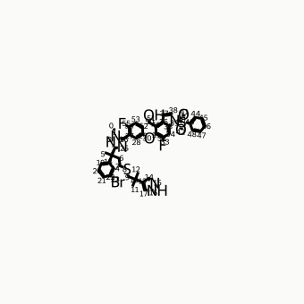 Cn1nc(C(C)(CCSCC(C)(C)c2cn[nH]c2)c2cccc(Br)c2)nc1-c1cc(Oc2c(F)cc3c(ccn3S(=O)(=O)c3ccccc3)c2CO)ccc1F